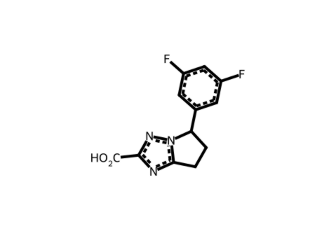 O=C(O)c1nc2n(n1)C(c1cc(F)cc(F)c1)CC2